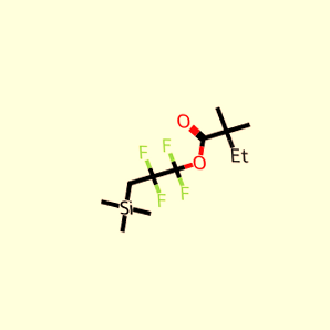 CCC(C)(C)C(=O)OC(F)(F)C(F)(F)C[Si](C)(C)C